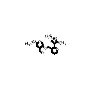 COc1cc(C=O)c(OCc2cccnc2-c2cn(C)nc2C)cn1